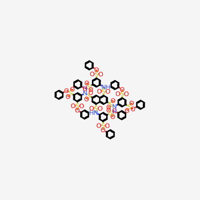 O=S(=O)(Nc1cc(S(=O)(=O)Oc2ccccc2)cc(S(=O)(=O)Oc2ccccc2)c1)c1cc(S(=O)(=O)Nc2cc(S(=O)(=O)Oc3ccccc3)cc(S(=O)(=O)Oc3ccccc3)c2)c2cc(S(=O)(=O)Nc3cc(S(=O)(=O)Oc4ccccc4)cc(S(=O)(=O)Oc4ccccc4)c3)cc(S(=O)(=O)Nc3cc(S(=O)(=O)Oc4ccccc4)cc(S(=O)(=O)Oc4ccccc4)c3)c2c1